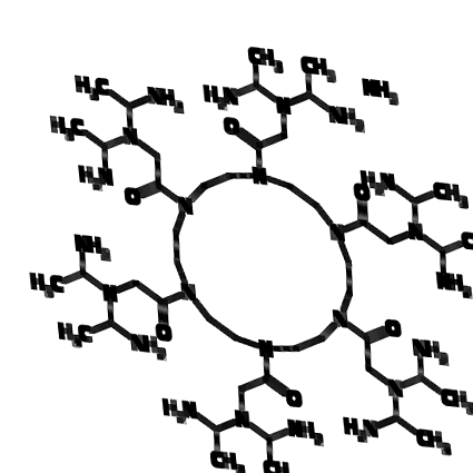 CC(N)N(CC(=O)N1CCN(C(=O)CN(C(C)N)C(C)N)CCN(C(=O)CN(C(C)N)C(C)N)CCN(C(=O)CN(C(C)N)C(C)N)CCN(C(=O)CN(C(C)N)C(C)N)CCN(C(=O)CN(C(C)N)C(C)N)CC1)C(C)N.N